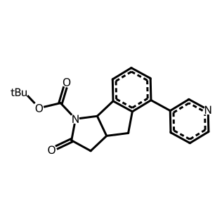 CC(C)(C)OC(=O)N1C(=O)CC2Cc3c(-c4cccnc4)cccc3C21